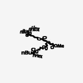 CCCCCCC(CCCC)C(=O)OCCCCOC(=O)CCN(CCCC(=O)OC)CCC(=O)OCCCCOC(=O)C(CCCC)CCCCCC